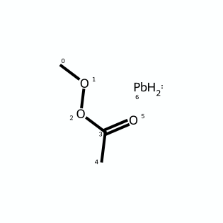 COOC(C)=O.[PbH2]